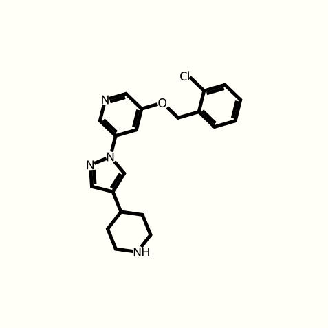 Clc1ccccc1COc1cncc(-n2cc(C3CCNCC3)cn2)c1